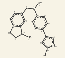 CC(C)N(Cc1ccc2c(c1)N(C(C)C)CC2)c1ccc(-c2cnn(C)c2)cc1